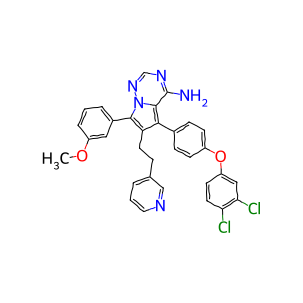 COc1cccc(-c2c(CCc3cccnc3)c(-c3ccc(Oc4ccc(Cl)c(Cl)c4)cc3)c3c(N)ncnn23)c1